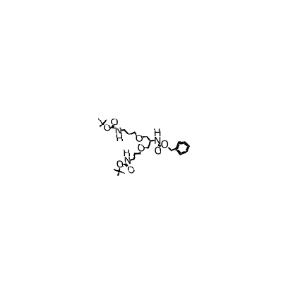 CC(C)(C)OC(=O)NCCCOCC(COCCCNC(=O)OC(C)(C)C)NC(=O)OCc1ccccc1